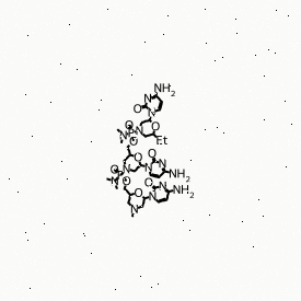 CCC1CN(P(=O)(OCC2CN(P(=O)(OCC3CN(C)CC(n4ccc(N)nc4=O)O3)N(C)C)CC(n3ccc(N)nc3=O)O2)N(C)C)CC(n2ccc(N)nc2=O)O1